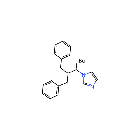 CCCCC(C(Cc1ccccc1)Cc1ccccc1)n1ccnc1